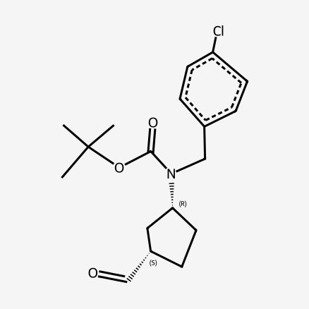 CC(C)(C)OC(=O)N(Cc1ccc(Cl)cc1)[C@@H]1CC[C@H](C=O)C1